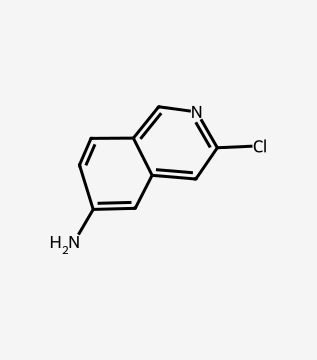 Nc1ccc2cnc(Cl)cc2c1